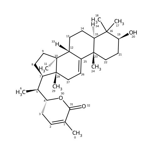 CC1=CC[C@H]([C@@H](C)[C@H]2CC[C@@]3(C)[C@@H]4CC[C@H]5C(C)(C)[C@@H](O)CC[C@]5(C)C4=CC[C@]23C)OC1=O